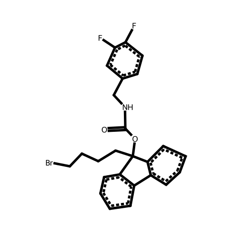 O=C(NCc1ccc(F)c(F)c1)OC1(CCCCBr)c2ccccc2-c2ccccc21